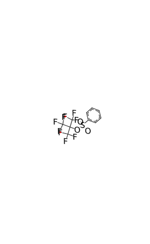 O=S(=O)(OC(C(F)(F)F)(C(F)(F)F)C(F)(F)F)c1ccccc1